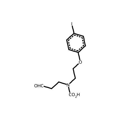 O=CCCN(CCOc1ccc(I)cc1)C(=O)O